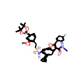 CNC(=O)c1c(-c2ccc(F)cc2)oc2cc(NS(=O)(=O)CCc3ccc(B4OC(C)(C)C(C)(C)O4)cc3OC)c(C3CC3)cc12